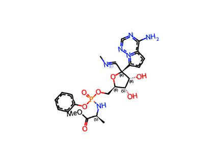 C/N=C/[C@@]1(c2ccc3c(N)ncnn23)O[C@H](COP(=O)(N[C@@H](C)C(=O)OC)Oc2ccccc2)[C@@H](O)[C@H]1O